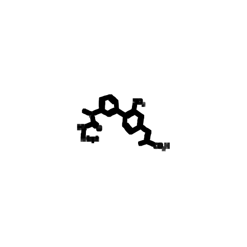 CCCCCCCNC(=O)N(C)c1cccc(-c2ccc(C=C(C)C(=O)O)cc2[N+](=O)[O-])c1